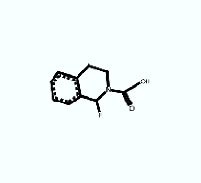 O=C(O)N1CCc2ccccc2C1F